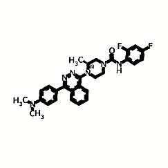 C[C@H]1CN(C(=O)Nc2ccc(F)cc2F)CCN1c1nnc(-c2ccc(N(C)C)cc2)c2ccccc12